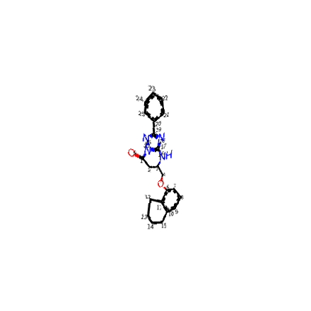 O=C1CC(COc2cccc3c2CCCC3)Nc2nc(-c3ccccc3)nn21